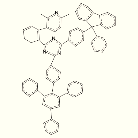 Cc1ccc(C2=C(c3nc(-c4ccc(-c5c(-c6ccccc6)cc(-c6ccccc6)cc5-c5ccccc5)cc4)nc(-c4ccc(C5(c6ccccc6)c6ccccc6-c6ccccc65)cc4)n3)CCC=C2)c(C)n1